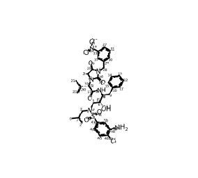 CC(C)CN(C[C@@H](O)[C@H](Cc1ccccc1)NC(=O)[C@H](C(C)C)N1CC(=O)N(Cc2cccc([N+](=O)[O-])c2)C1=O)S(=O)(=O)c1ccc(Cl)c(N)c1